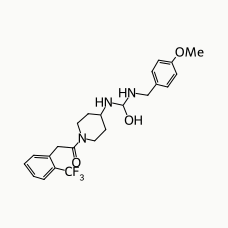 COc1ccc(CNC(O)NC2CCN(C(=O)Cc3ccccc3C(F)(F)F)CC2)cc1